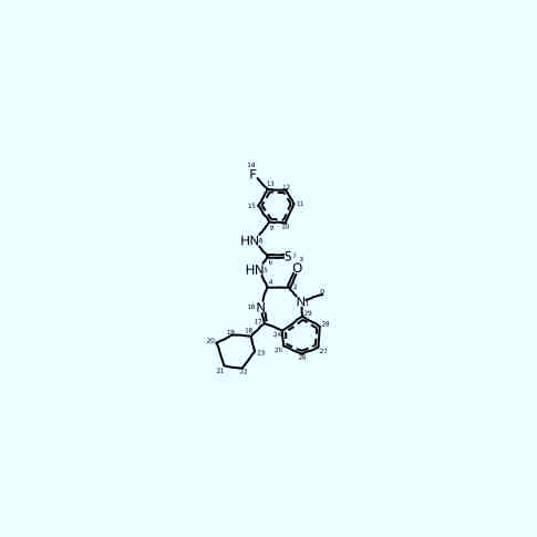 CN1C(=O)C(NC(=S)Nc2cccc(F)c2)N=C(C2CCCCC2)c2ccccc21